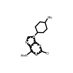 CNc1nc(Cl)nc2c1ncn2C1CCC(C(C)(C)C)CC1